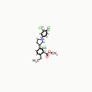 CCc1ccc(C2CCN(c3ccc(Cl)c(Cl)c3)C2)c(F)c1C(=O)OC